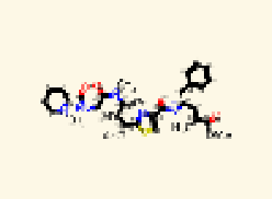 CCC[C@H](NC(=O)[C@H]1CCCCN1C)C(=O)N(C)[C@H](C[C@@H](OC(C)=O)c1nc(C(=O)N[C@@H](Cc2ccccc2)C[C@H](C)C(=O)OC)cs1)C(C)C